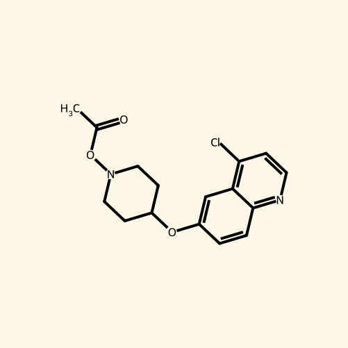 CC(=O)ON1CCC(Oc2ccc3nccc(Cl)c3c2)CC1